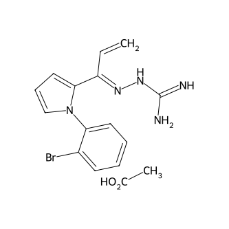 C=CC(=NNC(=N)N)c1cccn1-c1ccccc1Br.CC(=O)O